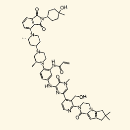 C=CC(=O)Nc1cc(Nc2nc(-c3ccnc(N4CCn5c(cc6c5CC(C)(C)C6)C4=O)c3CO)cn(C)c2=O)ccc1N1CCN(C2CCN(c3cccc4c3C(=O)N(C3CCC(C)(O)CC3)C4=O)[C@@H](C)C2)C[C@@H]1C